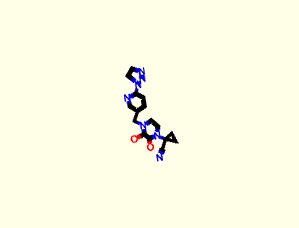 N#CC1(n2ccn(Cc3ccc(-n4ccnn4)nc3)c(=O)c2=O)CC1